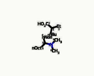 CCCCC(CC)C(=O)O.CCCCCCCCCC(CCCCCCCC)N(C)C